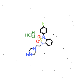 Cl.Cl.O=S1(=O)N(CCN2CCNCC2)c2ccccc2N1c1ccc(F)cc1